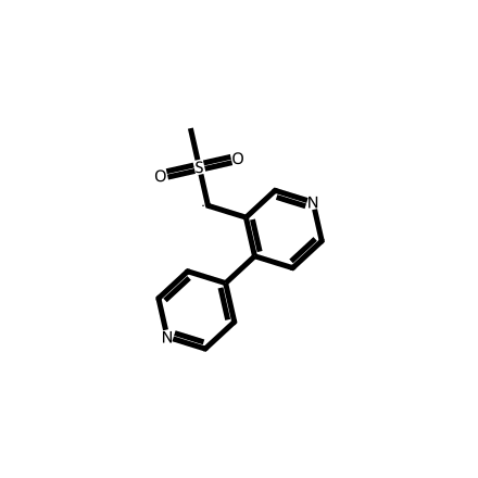 CS(=O)(=O)[CH]c1cnccc1-c1ccncc1